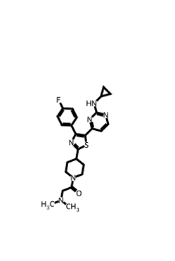 CN(C)CC(=O)N1CCC(c2nc(-c3ccc(F)cc3)c(-c3ccnc(NC4CC4)n3)s2)CC1